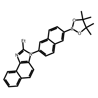 CCc1nc2c3ccccc3ccc2n1-c1ccc2cc(B3OC(C)(C)C(C)(C)O3)ccc2c1